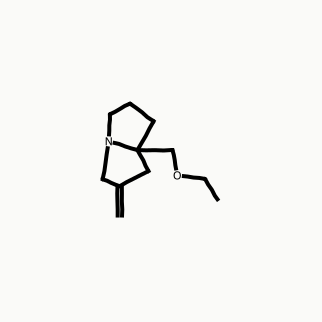 C=C1CN2CCCC2(COCC)C1